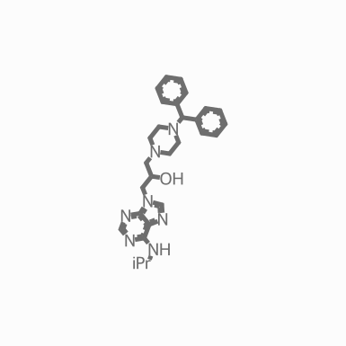 CC(C)Nc1ncnc2c1ncn2CC(O)CN1CCN(C(c2ccccc2)c2ccccc2)CC1